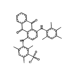 Cc1cc(C)c(Nc2ccc(Nc3c(C)cc(C)c(S(=O)(=O)Cl)c3C)c3c2C(=O)c2ccccc2C3=O)c(C)c1C